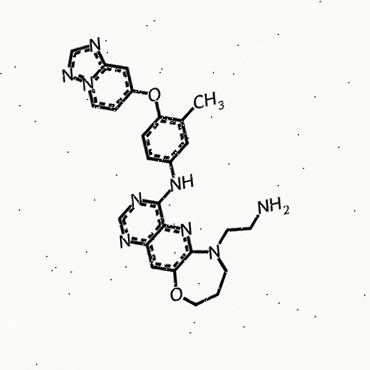 Cc1cc(Nc2ncnc3cc4c(nc23)N(CCN)CCCO4)ccc1Oc1ccn2ncnc2c1